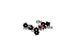 COc1c(NC(=O)Nc2ccc(Oc3ccnc(Nc4ccccc4)c3)c3ccccc23)cc(C(C)(C)C)cc1C1CCOC1